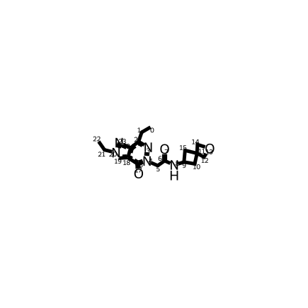 CCc1nn(CC(=O)NC2CC3(COC3)C2)c(=O)c2cn(CC)nc12